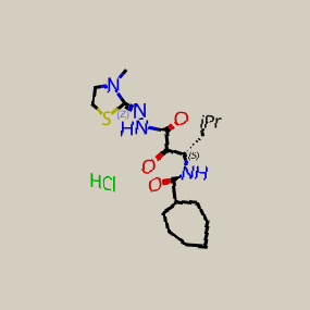 CC(C)C[C@H](NC(=O)C1CCCCCC1)C(=O)C(=O)N/N=C1\SCCN1C.Cl